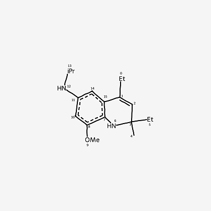 CCC1=CC(C)(CC)Nc2c(OC)cc(NC(C)C)cc21